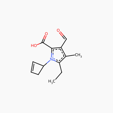 CCc1c(C)c(C=O)c(C(=O)O)n1C1C=CC1